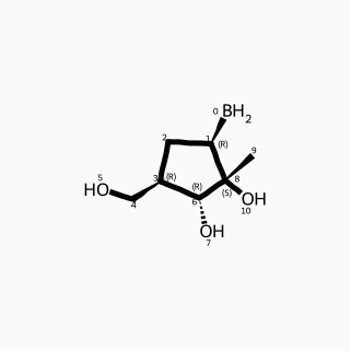 B[C@@H]1C[C@H](CO)[C@@H](O)[C@@]1(C)O